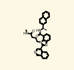 CNC(=O)CCCn1c(-c2cncc3ccccc23)nc2cccc(C(=O)N[C@H](C)c3ccc4ccccc4c3)c21